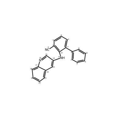 N#Cc1cccc(-c2ccccc2)c1Nc1cnc2ccccc2c1